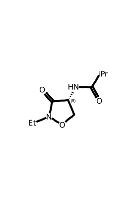 CCN1OC[C@@H](NC(=O)C(C)C)C1=O